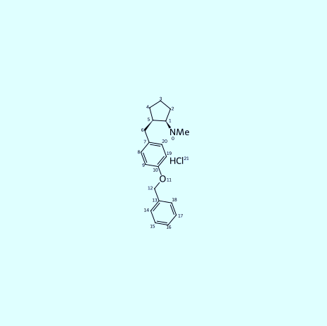 CN[C@@H]1CCC[C@@H]1Cc1ccc(OCc2ccccc2)cc1.Cl